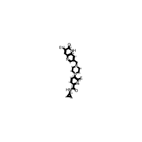 CCc1cc2ncc(CN3CCN(c4ccc(C(=O)NC5CC5)nc4F)CC3)cc2[nH]c1=O